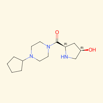 O=C([C@H]1C[C@@H](O)CN1)N1CCN(C2CCCC2)CC1